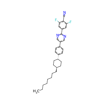 CCCCCCCC[C@H]1CC[C@H](c2ccc(-c3cnc(-c4cc(F)c(C#N)c(F)c4)nc3)cc2)CC1